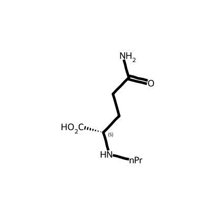 CCCN[C@@H](CCC(N)=O)C(=O)O